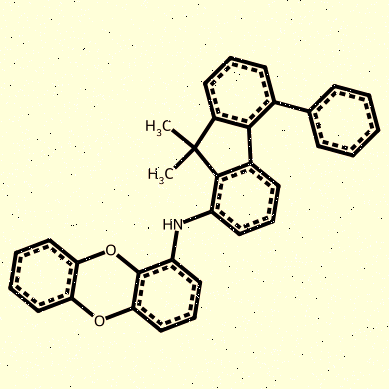 CC1(C)c2cccc(-c3ccccc3)c2-c2cccc(Nc3cccc4c3Oc3ccccc3O4)c21